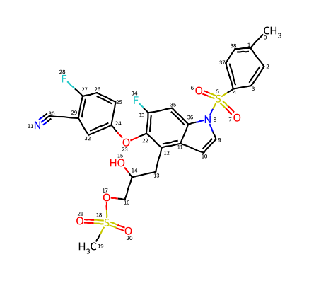 Cc1ccc(S(=O)(=O)n2ccc3c(CC(O)COS(C)(=O)=O)c(Oc4ccc(F)c(C#N)c4)c(F)cc32)cc1